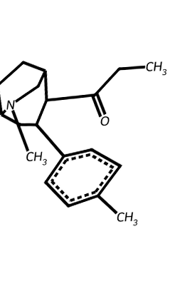 CCC(=O)C1C2CCC(CC1c1ccc(C)cc1)N(C)C2